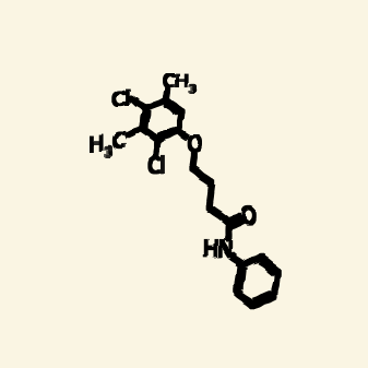 Cc1cc(OCCCC(=O)Nc2ccccc2)c(Cl)c(C)c1Cl